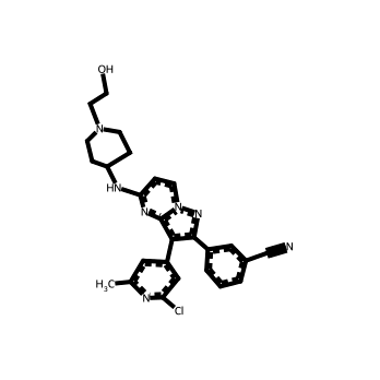 Cc1cc(-c2c(-c3cccc(C#N)c3)nn3ccc(NC4CCN(CCO)CC4)nc23)cc(Cl)n1